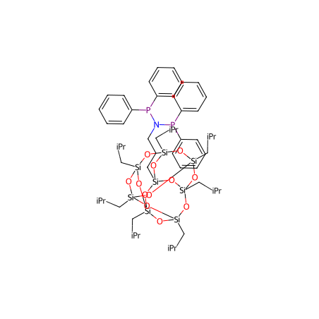 CC(C)C[Si]12O[Si]3(CCCN(P(c4ccccc4)c4ccccc4)P(c4ccccc4)c4ccccc4)O[Si]4(CC(C)C)O[Si](CC(C)C)(O1)O[Si]1(CC(C)C)O[Si](CC(C)C)(O2)O[Si](CC(C)C)(O3)O[Si](CC(C)C)(O4)O1